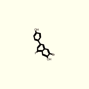 Oc1ccc(-c2cc(F)c3cc(O)c(Br)cc3c2)cc1